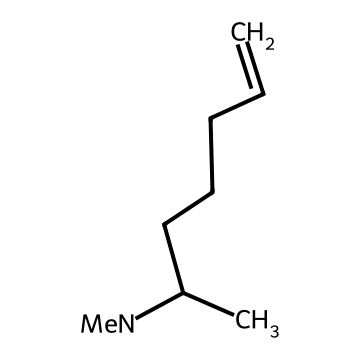 C=CCCCC(C)NC